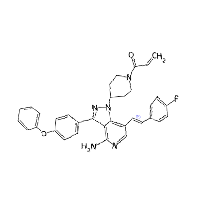 C=CC(=O)N1CCC(n2nc(-c3ccc(Oc4ccccc4)cc3)c3c(N)ncc(/C=C/c4ccc(F)cc4)c32)CC1